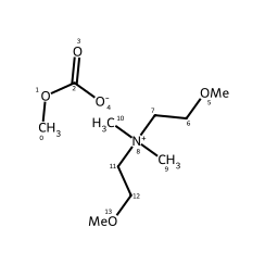 COC(=O)[O-].COCC[N+](C)(C)CCOC